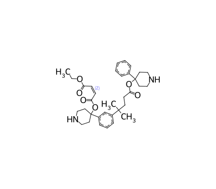 CCOC(=O)/C=C\C(=O)OC1(c2cccc(C(C)(C)CCC(=O)OC3(c4ccccc4)CCNCC3)c2)CCNCC1